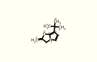 C=C1Cn2ccc(C(C)(C)C)c2O1